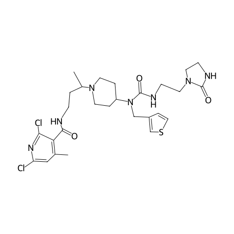 Cc1cc(Cl)nc(Cl)c1C(=O)NCCC(C)N1CCC(N(Cc2ccsc2)C(=O)NCCN2CCNC2=O)CC1